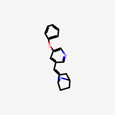 C(=C1CC2CCC1N2)c1cncc(Oc2ccccc2)c1